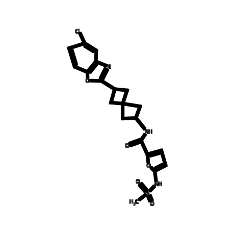 CS(=O)(=O)Nc1ccc(C(=O)NC2CC3(C2)CC(c2nc4cc(Cl)ccc4o2)C3)o1